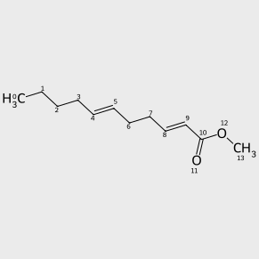 CCCCC=CCCC=CC(=O)OC